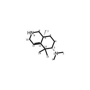 CN(C)[C@H]1CC[C@]2(C)CNCC=C2C1(C)C